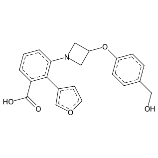 O=C(O)c1cccc(N2CC(Oc3ccc(CO)cc3)C2)c1-c1ccoc1